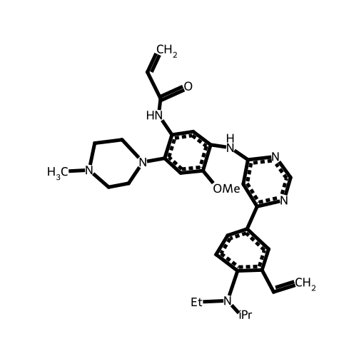 C=CC(=O)Nc1cc(Nc2cc(-c3ccc(N(CC)C(C)C)c(C=C)c3)ncn2)c(OC)cc1N1CCN(C)CC1